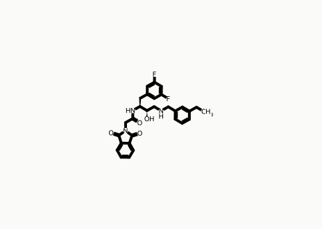 CCc1cccc(CNC[C@H](O)[C@H](Cc2cc(F)cc(F)c2)NC(=O)CN2C(=O)c3ccccc3C2=O)c1